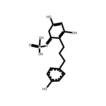 O=P(O)(O)N=C1CC(O)=CC(O)=C1CCCc1ccc(O)cc1